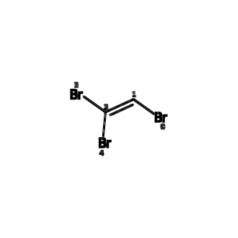 BrC=C(Br)Br